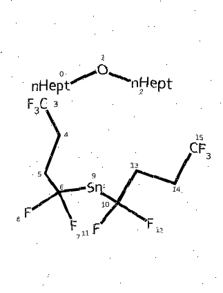 CCCCCCCOCCCCCCC.FC(F)(F)CC[C](F)(F)[Sn][C](F)(F)CCC(F)(F)F